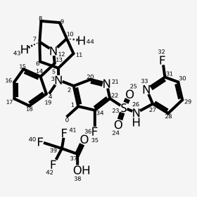 Cc1c(N(C)C2C[C@H]3CC[C@@H](C2)N3Cc2ccccc2)cnc(S(=O)(=O)Nc2cccc(F)n2)c1F.O=C(O)C(F)(F)F